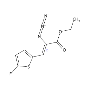 CCOC(=O)/C(=C/c1ccc(F)s1)N=[N+]=[N-]